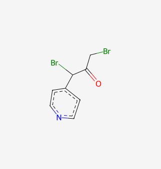 O=C(CBr)C(Br)c1ccncc1